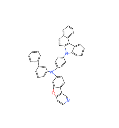 c1ccc(-c2cccc(N(c3ccc(-n4c5ccccc5c5c6ccccc6ccc54)cc3)c3ccc4c(c3)oc3ccncc34)c2)cc1